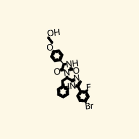 O=C1N[C@H](c2ccc(OCCO)cc2)C(=O)N1C(Cc1ccccc1)c1ncc(-c2ccc(Br)cc2F)[nH]1